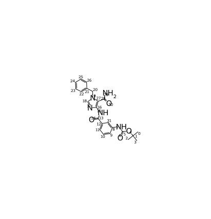 CC(C)(C)OC(=O)Nc1cccc(C(=O)Nc2ncn(Cc3ccccc3)c2C(N)=O)c1